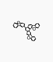 c1ccc2c(c1)oc1ccc(-c3cc4cc5oc6ccccc6c5cc4c4c3ccc3c5ccccc5oc34)cc12